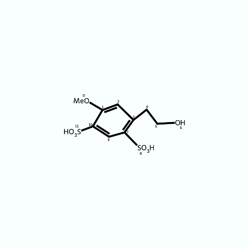 COc1cc(CCO)c(S(=O)(=O)O)cc1S(=O)(=O)O